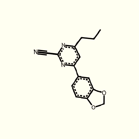 CCCc1cc(-c2ccc3c(c2)OCO3)nc(C#N)n1